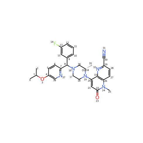 CC(C)Oc1ccc(C(c2cccc(F)c2)N2CCN(c3cc(=O)n(C)c4ccc(C#N)nc34)[C@@H](C)C2)nc1